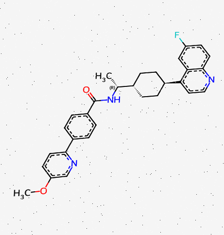 COc1ccc(-c2ccc(C(=O)N[C@H](C)[C@H]3CC[C@H](c4ccnc5ccc(F)cc54)CC3)cc2)nc1